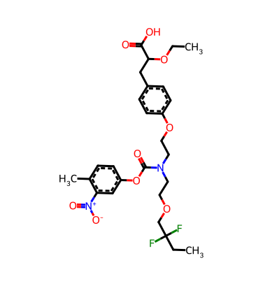 CCOC(Cc1ccc(OCCN(CCOCC(F)(F)CC)C(=O)Oc2ccc(C)c([N+](=O)[O-])c2)cc1)C(=O)O